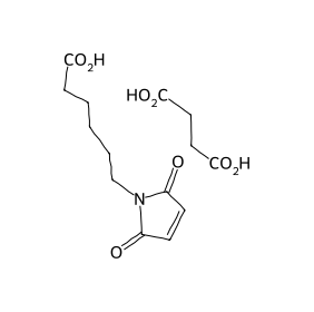 O=C(O)CCC(=O)O.O=C(O)CCCCCN1C(=O)C=CC1=O